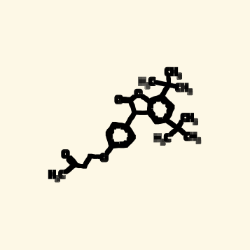 CC(=O)CCOc1ccc(C2C(=O)Oc3c2cc(C(C)(C)C)cc3C(C)(C)C)cc1